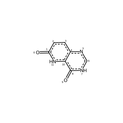 O=c1ccc2nc[nH]c(=O)c2[nH]1